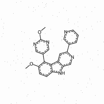 COc1ncc(-c2c(OC)ccc3[nH]c4cnc(-c5cccnc5)cc4c23)cn1